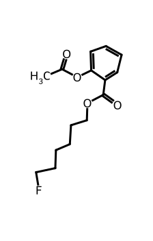 CC(=O)Oc1ccccc1C(=O)OCCCCCCF